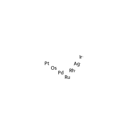 [Ag].[Ir].[Os].[Pd].[Pt].[Rh].[Ru]